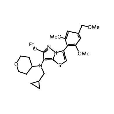 CCOc1nn2c(-c3c(OC)cc(COC)cc3OC)csc2c1N(CC1CC1)C1CCOCC1